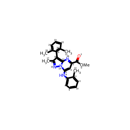 COC(=O)c1cc(Nc2ccccc2C)n2nc(C)c(-c3c(C)cccc3C)c2n1